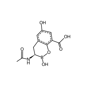 CC(=O)N[C@H]1Cc2cc(O)cc(C(=O)O)c2OB1O